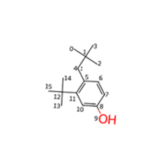 CC(C)(C)[C]c1ccc(O)cc1C(C)(C)C